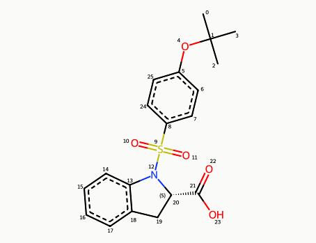 CC(C)(C)Oc1ccc(S(=O)(=O)N2c3ccccc3C[C@H]2C(=O)O)cc1